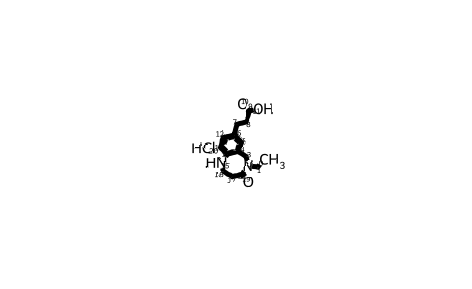 CCN1Cc2cc(CCC(=O)O)ccc2NCCC1=O.Cl